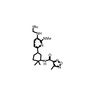 CNc1nc(C2CCC(C)(C)C(NC(=O)c3nonc3C)C2)ccc1NCC(C)(C)C